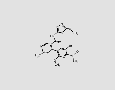 COc1nnc(NC(=O)c2cnc(C)cc2-c2cc(Br)c([S@@+](C)[O-])cc2OC)s1